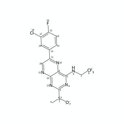 C[S+]([O-])c1nc(NCC(F)(F)F)c2nc(-c3ccc(F)c(Cl)c3)cnc2n1